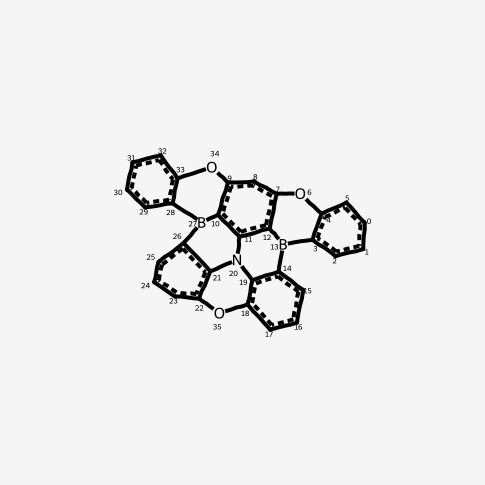 c1ccc2c(c1)Oc1cc3c4c5c1B2c1cccc2c1N5c1c(cccc1B4c1ccccc1O3)O2